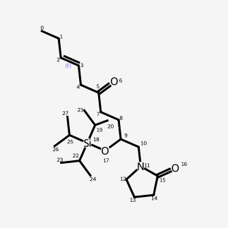 CC/C=C/CC(=O)CCC(CN1CCCC1=O)O[Si](C(C)C)(C(C)C)C(C)C